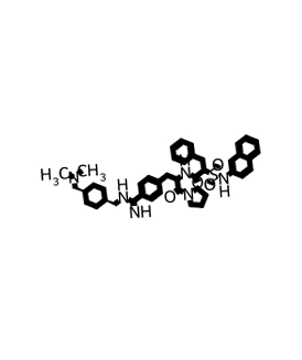 CN(C)C[C@H]1CC[C@@H](CNC(=N)c2ccc(CC(NC(=O)C(Cc3ccccc3)S(=O)(=O)Nc3ccc4ccccc4c3)C(=O)N3CCCC3)cc2)CC1